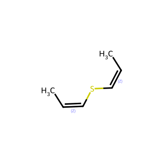 C/C=C\S/C=C\C